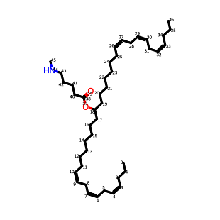 CCC/C=C\C/C=C\C/C=C\CCCCCCCC(CCCCCCC/C=C\C/C=C\C/C=C\CCC)OC(=O)CCCCNC